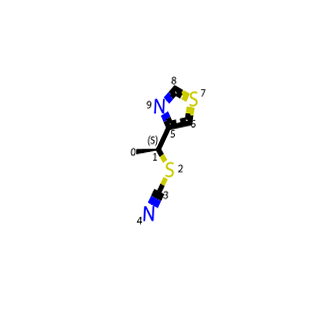 C[C@H](SC#N)c1cscn1